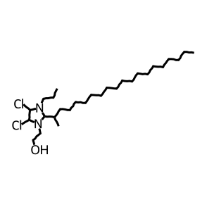 CCCCCCCCCCCCCCCCCCC(C)C1N(CCC)C(Cl)C(Cl)N1CCO